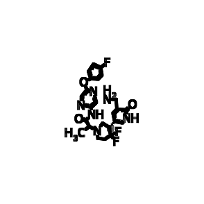 CC(C(=O)Nc1cnc(Oc2ccc(F)cc2)cn1)N1CCC(F)(F)[C@@H](c2c[nH]c(=O)c(CN)c2)C1